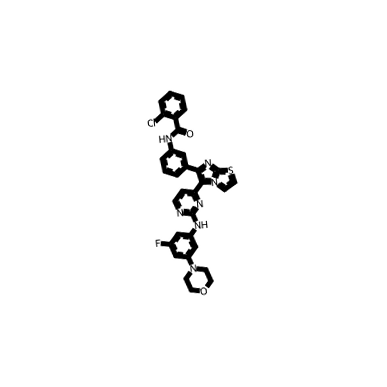 O=C(Nc1cccc(-c2nc3sccn3c2-c2ccnc(Nc3cc(F)cc(N4CCOCC4)c3)n2)c1)c1ccccc1Cl